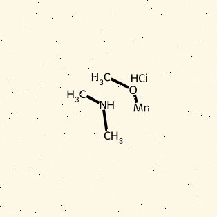 CNC.C[O][Mn].Cl